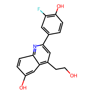 OCCc1cc(-c2ccc(O)c(F)c2)nc2ccc(O)cc12